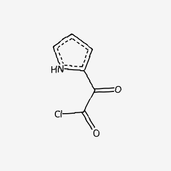 O=C(Cl)C(=O)c1ccc[nH]1